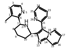 Cc1cccnc1[C@@H]1CCC[C@H](c2nc3ccccn3c2-c2ccccn2)N1